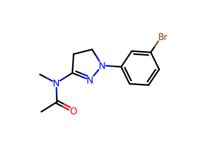 CC(=O)N(C)C1=NN(c2cccc(Br)c2)CC1